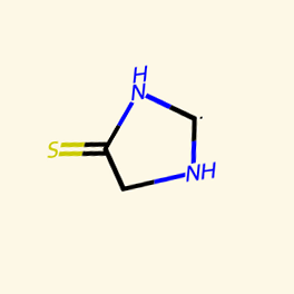 S=C1CN[CH]N1